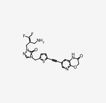 NCC(Cn1ncn(Cc2ccc(C#Cc3cnc4c(c3)NC(=O)CO4)s2)c1=O)=C(F)F